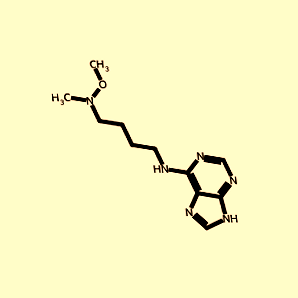 CON(C)CCCCNc1ncnc2[nH]cnc12